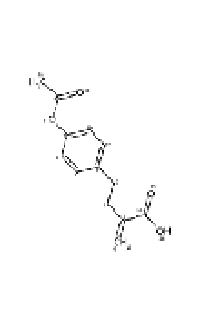 C=C(CCc1ccc(OC(C)=O)cc1)C(=O)O